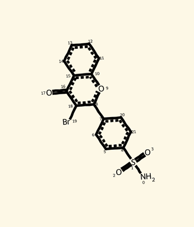 NS(=O)(=O)c1ccc(-c2oc3ccccc3c(=O)c2Br)cc1